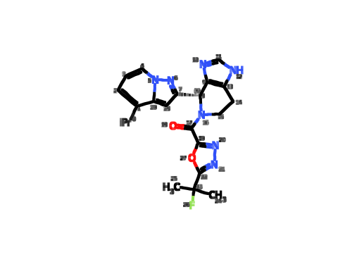 CC(C)c1cccn2nc([C@@H]3c4nc[nH]c4CCN3C(=O)c3nnc(C(C)(C)F)o3)cc12